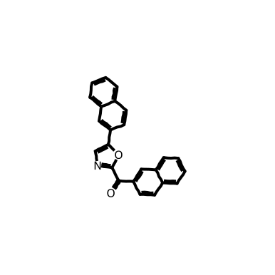 O=C(c1ccc2ccccc2c1)c1ncc(-c2ccc3ccccc3c2)o1